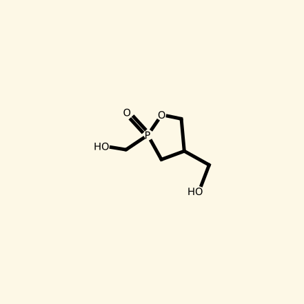 O=P1(CO)CC(CO)CO1